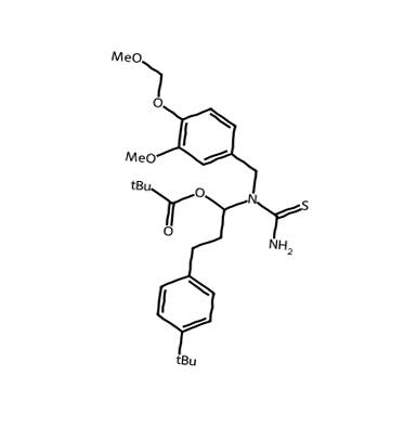 COCOc1ccc(CN(C(N)=S)C(CCc2ccc(C(C)(C)C)cc2)OC(=O)C(C)(C)C)cc1OC